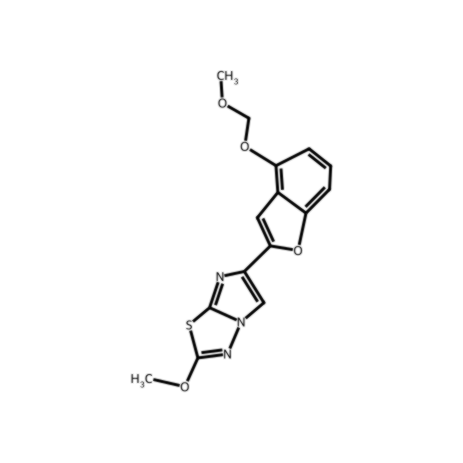 COCOc1cccc2oc(-c3cn4nc(OC)sc4n3)cc12